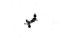 CC(=O)O[C@H]1C(N=[N+]=[N-])COC(O[C@@H]2C=C3CCC4C(CC[C@]5(C)[C@@H](c6ccc(=O)oc6)CC[C@]45O)[C@@]3(C)CC2)[C@H]1OC(=O)c1ccccc1